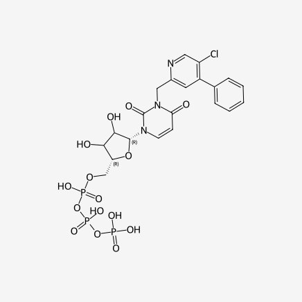 O=c1ccn([C@@H]2O[C@H](COP(=O)(O)OP(=O)(O)OP(=O)(O)O)C(O)C2O)c(=O)n1Cc1cc(-c2ccccc2)c(Cl)cn1